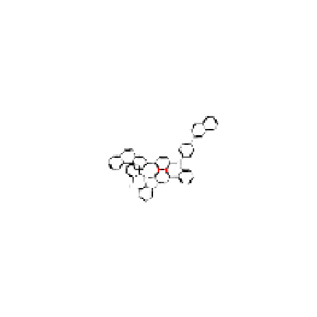 c1ccc2c(c1)Oc1cccc3c4cc(-c5ccccc5N(c5ccc(-c6ccc7ccccc7c6)cc5)c5ccc(-c6ccc7c(ccc8ccccc87)c6)cc5)ccc4n-2c13